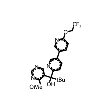 COc1ncncc1C(O)(c1ccc(-c2ccc(OCC(F)(F)F)nc2)cn1)C(C)(C)C